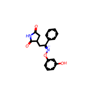 O=C1CC(C/C(=N\Oc2cccc(O)c2)c2ccccc2)C(=O)N1